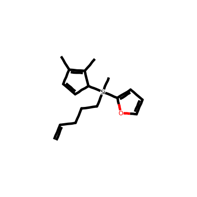 C=CCCC[Si](C)(c1ccco1)C1C=CC(C)=C1C